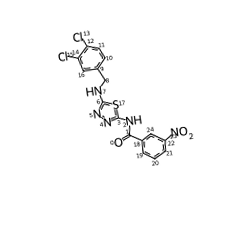 O=C(Nc1nnc(NCc2ccc(Cl)c(Cl)c2)s1)c1cccc([N+](=O)[O-])c1